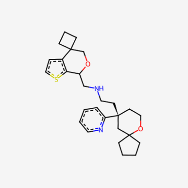 c1ccc([C@]2(CCNCC3OCC4(CCC4)c4ccsc43)CCOC3(CCCC3)C2)nc1